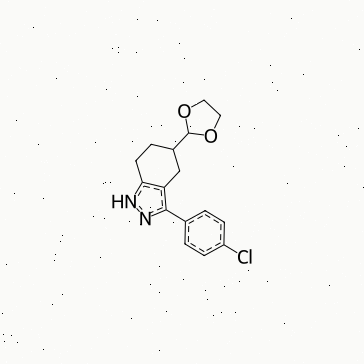 Clc1ccc(-c2n[nH]c3c2CC(C2OCCO2)CC3)cc1